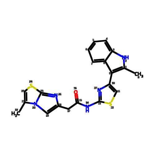 Cc1[nH]c2ccccc2c1-c1csc(NC(=O)Cc2cn3c(C)csc3n2)n1